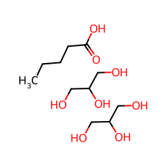 CCCCC(=O)O.OCC(O)CO.OCC(O)CO